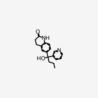 CCCC(O)(c1cccnc1)c1ccc2c(c1)CCC(=O)N2